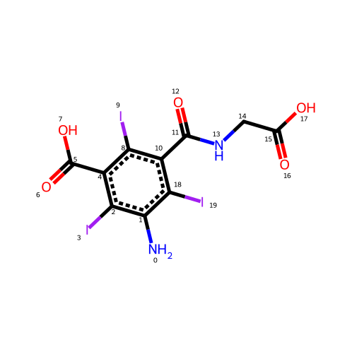 Nc1c(I)c(C(=O)O)c(I)c(C(=O)NCC(=O)O)c1I